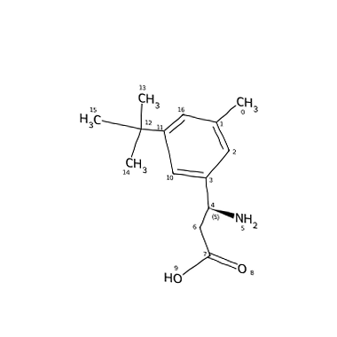 Cc1cc([C@@H](N)CC(=O)O)cc(C(C)(C)C)c1